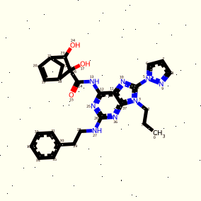 CCCn1c(-n2cccn2)nc2c(NC(=O)C3(O)C4C=CC(C4)C3O)nc(NCCc3ccccc3)nc21